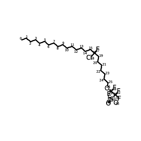 CCCCCCCCCCCCCCCCC(F)(Cl)CCCCCCCOC(F)(F)C(F)(F)S(=O)(=O)F